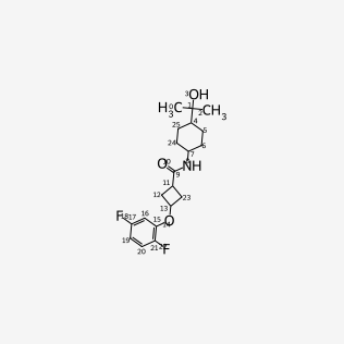 CC(C)(O)C1CCC(NC(=O)C2CC(Oc3cc(F)ccc3F)C2)CC1